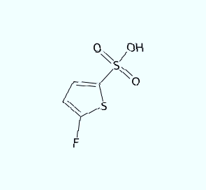 O=S(=O)(O)c1ccc(F)s1